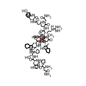 CCCC[C@@H](C(=O)N(C)[C@@H](CCCC)C(=O)N[C@@H](CCCNC(=N)N)C(=O)NC(CSCC(=O)N[C@@H](Cc1ccc(O)cc1)C(=O)NC)C(=O)NCC(N)=O)N(C)C(=O)[C@H](Cc1c[nH]c2ccccc12)NC(=O)[C@H](CO)NC(=O)[C@H](Cc1c[nH]c2ccccc12)NC(=O)[C@@H]1CCCN1C(=O)[C@H](CO)NC(=O)[C@H](Cc1cnc[nH]1)NC(=O)[C@@H]1CCCN1C(=O)[C@@H](N)CC(N)=O